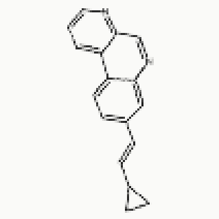 C(=CC1CC1)c1ccc2c(c1)ncc1ncccc12